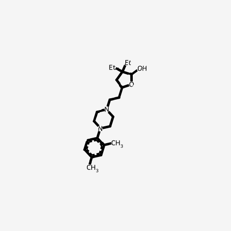 CCC1(CC)CC(CCN2CCN(c3ccc(C)cc3C)CC2)OC1O